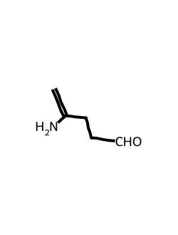 C=C(N)CCC=O